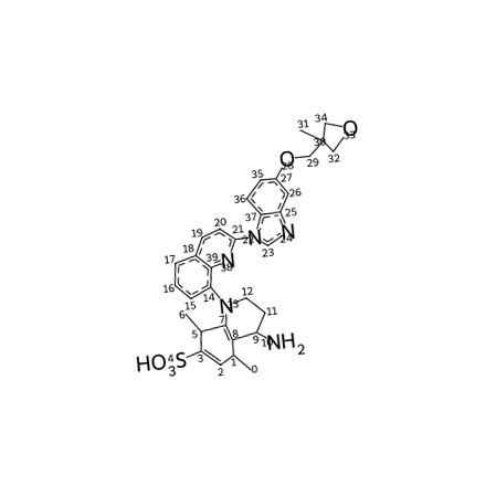 CC1C=C(S(=O)(=O)O)C(C)C2=C1C(N)CCN2c1cccc2ccc(-n3cnc4cc(OCC5(C)COC5)ccc43)nc12